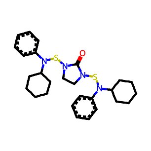 O=C1N(SN(c2ccccc2)C2CCCCC2)CCN1SN(c1ccccc1)C1CCCCC1